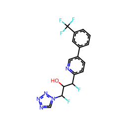 OC(C(F)c1ccc(-c2cccc(C(F)(F)F)c2)cn1)C(F)n1cnnn1